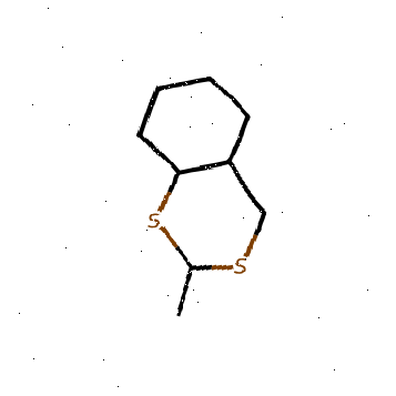 CC1SCC2CCCCC2S1